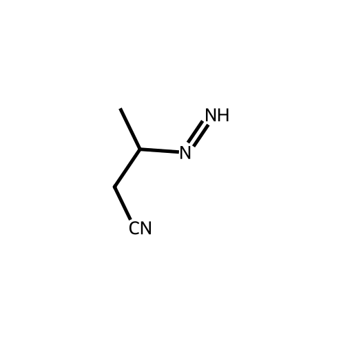 CC(CC#N)N=N